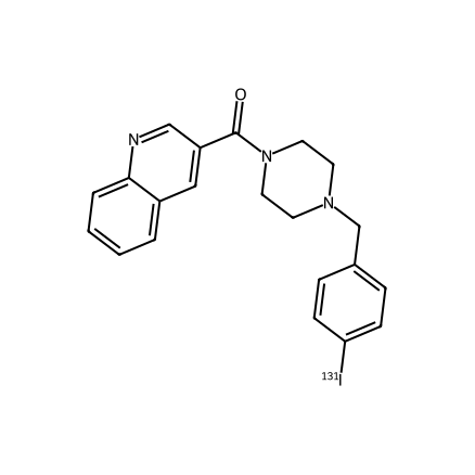 O=C(c1cnc2ccccc2c1)N1CCN(Cc2ccc([131I])cc2)CC1